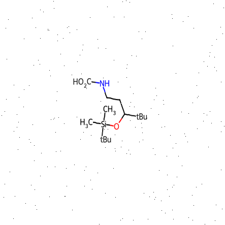 CC(C)(C)C(CCNC(=O)O)O[Si](C)(C)C(C)(C)C